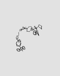 CS(=O)(=O)c1ccc(OCC[C@@H]2C[C@H]2C2CCN(c3nc(C4CCC4)no3)CC2)nc1